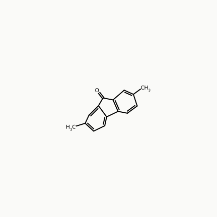 Cc1ccc2c(c1)C(=O)c1cc(C)ccc1-2